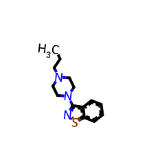 CCCN1CCN(c2nsc3ccccc23)CC1